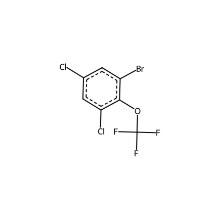 FC(F)(F)Oc1c(Cl)cc(Cl)cc1Br